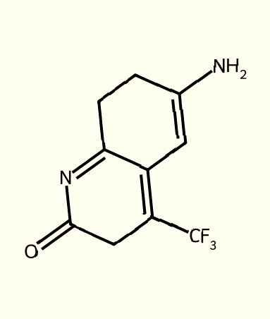 NC1=CC2=C(C(F)(F)F)CC(=O)N=C2CC1